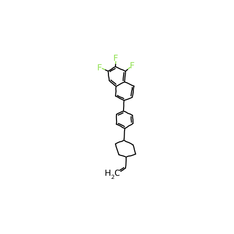 C=CC1CCC(c2ccc(-c3ccc4c(F)c(F)c(F)cc4c3)cc2)CC1